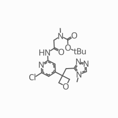 CN(CC(=O)Nc1cc(C2(Cc3nncn3C)COC2)cc(Cl)n1)C(=O)OC(C)(C)C